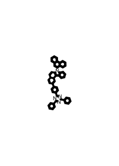 C1=CC2C=Cc3c(c4ccccc4n3-c3cc4ccccc4c4ccccc34)C2C=C1c1ccc(-c2nc(-c3ccccc3)nc(-c3ccccc3)n2)cc1